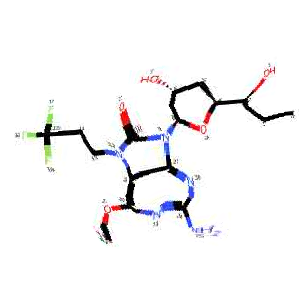 CC[C@H](O)[C@@H]1C[C@@H](O)[C@H](n2c(=O)n(CCC(F)(F)F)c3c(OC)nc(N)nc32)O1